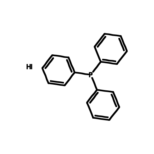 I.c1ccc(P(c2ccccc2)c2ccccc2)cc1